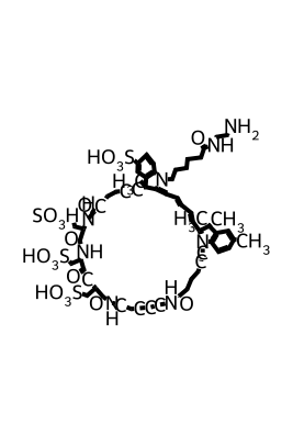 Cc1ccc2c(c1)C(C)(C)C1=[N+]2CCCCCC(=O)NCCCCCNC(=O)C(CS(=O)(=O)O)CC(=O)C(CS(=O)(=O)O)NC(=O)C(CS(=O)(=O)O)NC(=O)CCCCCC2(C)/C(=C/C=C/C=C/1)N(CCCCCC(=O)NCCN)c1ccc(S(=O)(=O)O)cc12